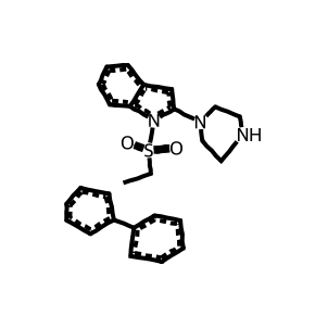 CCS(=O)(=O)n1c(N2CCNCC2)cc2ccccc21.c1ccc(-c2ccccc2)cc1